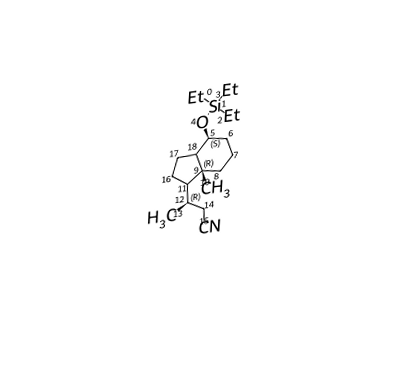 CC[Si](CC)(CC)O[C@H]1CCC[C@]2(C)C([C@H](C)CC#N)CCC12